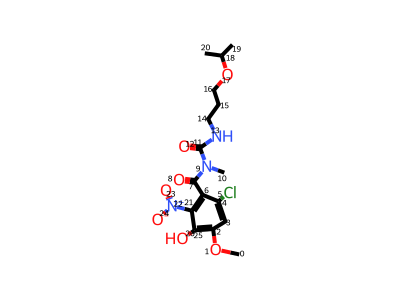 COc1cc(Cl)c(C(=O)N(C)C(=O)NCCCOC(C)C)c([N+](=O)[O-])c1O